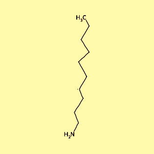 CCCCCC[CH]CCCN